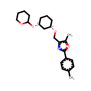 Cc1ccc(-c2nc(CO[C@H]3CCC[C@@H](OC4CCCCO4)C3)c(C)o2)cc1